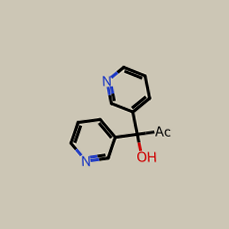 CC(=O)C(O)(c1cccnc1)c1cccnc1